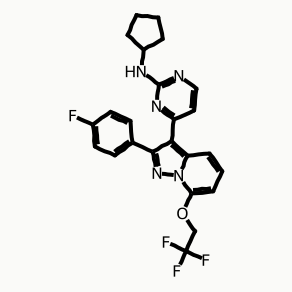 Fc1ccc(-c2nn3c(OCC(F)(F)F)cccc3c2-c2ccnc(NC3CCCC3)n2)cc1